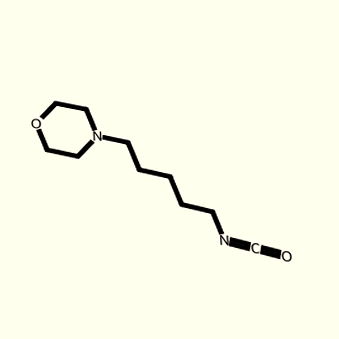 O=C=NCCCCCN1CCOCC1